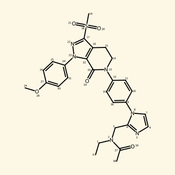 CCN(Cc1nccn1-c1ccc(N2CCc3c(S(C)(=O)=O)nn(-c4ccc(OC)cc4)c3C2=O)cc1)C(C)=O